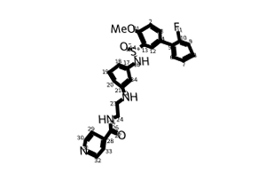 COc1ccc(-c2ccccc2F)cc1[S+]([O-])Nc1cccc(NCCNC(=O)c2ccncc2)c1